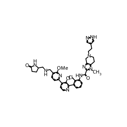 COc1nc(-c2ccnc(-c3cccc(NC(=O)c4nc5c(n4C)CCN(CCc4cn[nH]c4)C5)c3Cl)c2Cl)ccc1CNCC1CCC(=O)N1